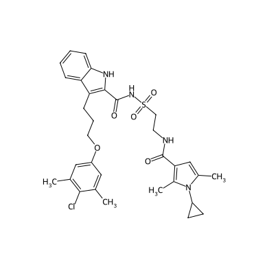 Cc1cc(OCCCc2c(C(=O)NS(=O)(=O)CCNC(=O)c3cc(C)n(C4CC4)c3C)[nH]c3ccccc23)cc(C)c1Cl